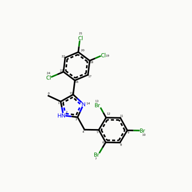 Cc1[nH]c(Cc2c(Br)cc(Br)cc2Br)nc1-c1cc(Cl)c(Cl)cc1Cl